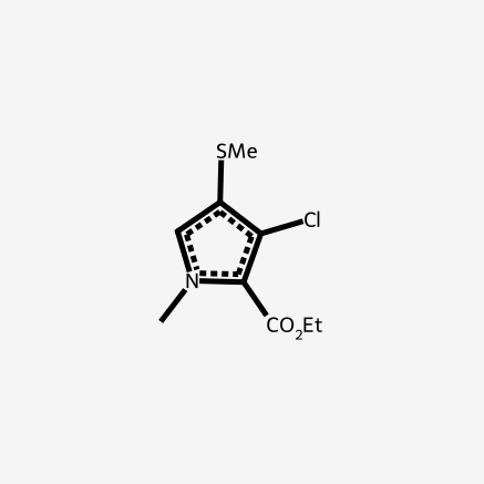 CCOC(=O)c1c(Cl)c(SC)cn1C